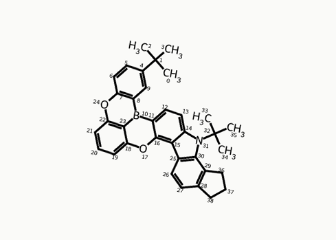 CC(C)(C)c1ccc2c(c1)B1c3ccc4c(c3Oc3cccc(c31)O2)c1ccc2c(c1n4C(C)(C)C)CCC2